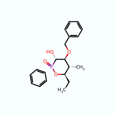 CC[C@H]1O[P@@](=O)(c2ccccc2)[C@H](O)[C@@H](OCc2ccccc2)[C@@H]1C